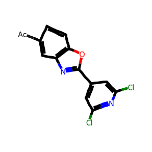 CC(=O)c1ccc2oc(-c3cc(Cl)nc(Cl)c3)nc2c1